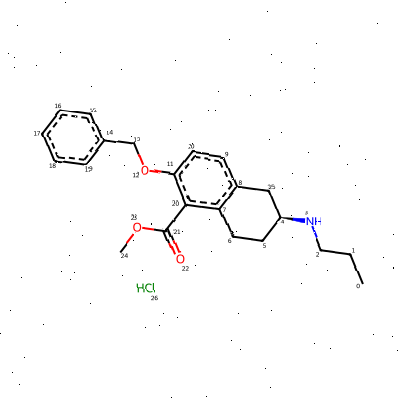 CCCN[C@H]1CCc2c(ccc(OCc3ccccc3)c2C(=O)OC)C1.Cl